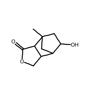 CC12CC(O)C(C1)C1COC(=O)C12